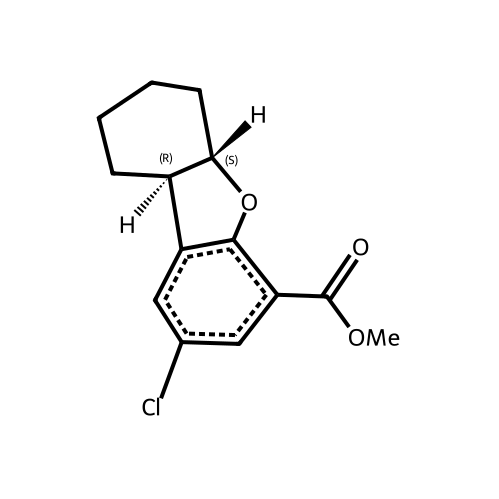 COC(=O)c1cc(Cl)cc2c1O[C@H]1CCCC[C@H]21